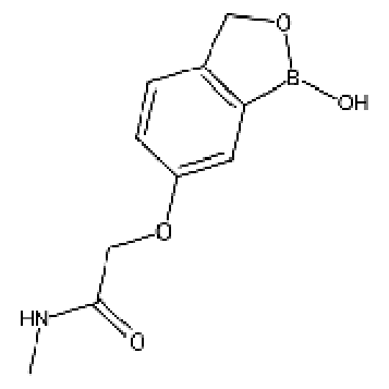 CNC(=O)COc1ccc2c(c1)B(O)OC2